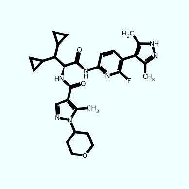 Cc1n[nH]c(C)c1-c1ccc(NC(=O)[C@@H](NC(=O)c2cnn(C3CCOCC3)c2C)C(C2CC2)C2CC2)nc1F